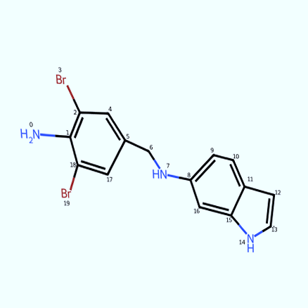 Nc1c(Br)cc(CNc2ccc3c[c][nH]c3c2)cc1Br